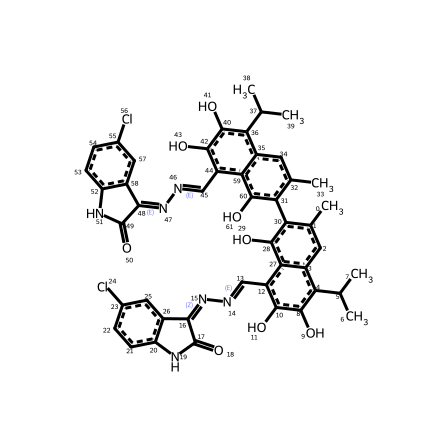 Cc1cc2c(C(C)C)c(O)c(O)c(/C=N/N=C3\C(=O)Nc4ccc(Cl)cc43)c2c(O)c1-c1c(C)cc2c(C(C)C)c(O)c(O)c(/C=N/N=C3/C(=O)Nc4ccc(Cl)cc43)c2c1O